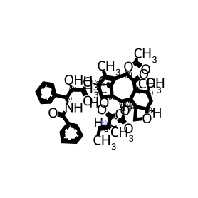 C/C=C(\C)C(=O)O[C@H]1[C@@H]2[C@]3(OC(C)=O)CO[C@@H]3C[C@H](O)[C@@]2(C)C(=O)[C@H](OC(C)=O)C2=C(C)[C@@H](OC(=O)[C@H](O)[C@@H](NC(=O)c3ccccc3)c3ccccc3)C[C@]1(O)C2(C)C